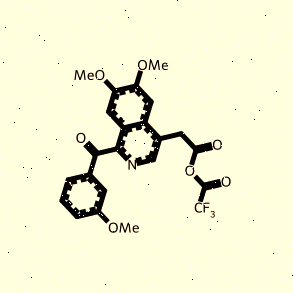 COc1cccc(C(=O)c2ncc(CC(=O)OC(=O)C(F)(F)F)c3cc(OC)c(OC)cc23)c1